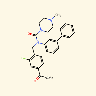 COC(=O)c1ccc(CN(C(=O)N2CCN(C)CC2)c2cccc(-c3ccccc3)c2)c(F)c1